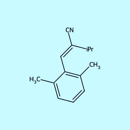 Cc1cccc(C)c1/C=C(/C#N)C(C)C